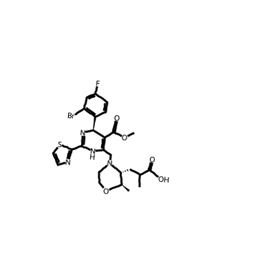 COC(=O)C1=C(CN2CCO[C@H](C)[C@H]2CC(C)C(=O)O)NC(c2nccs2)=N[C@H]1c1ccc(F)cc1Br